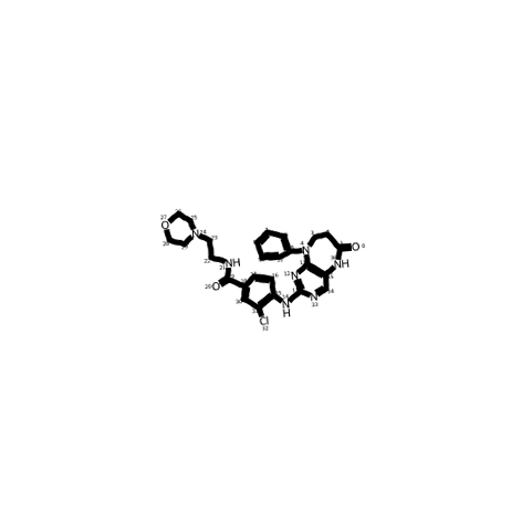 O=C1CCN(c2ccccc2)c2nc(Nc3ccc(C(=O)NCCN4CCOCC4)cc3Cl)ncc2N1